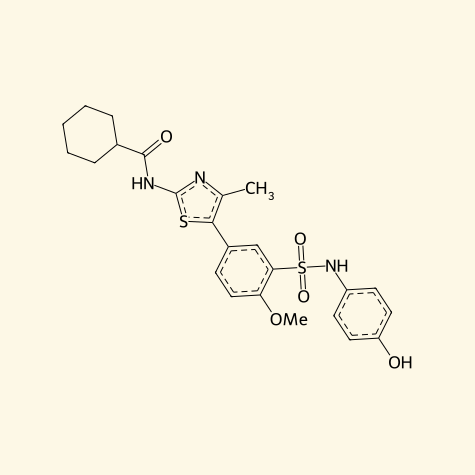 COc1ccc(-c2sc(NC(=O)C3CCCCC3)nc2C)cc1S(=O)(=O)Nc1ccc(O)cc1